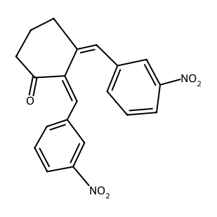 O=C1CCCC(=Cc2cccc([N+](=O)[O-])c2)C1=Cc1cccc([N+](=O)[O-])c1